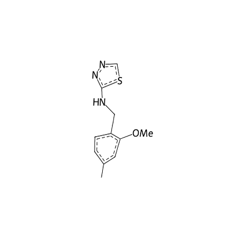 COc1cc(C)ccc1CNc1nncs1